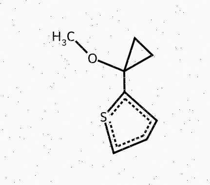 COC1(c2cccs2)CC1